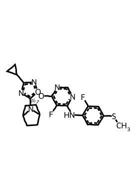 CSc1ccc(Nc2ncnc(O[C@H]3CC4CCC3N4c3nc(C4CC4)no3)c2F)c(F)c1